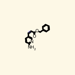 Nc1ccc(/C=C\C(=O)OCc2ccccc2)cn1